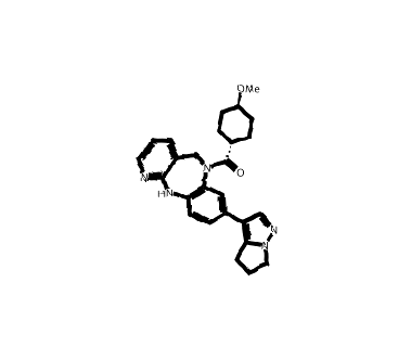 CO[C@H]1CC[C@H](C(=O)N2Cc3cccnc3Nc3ccc(-c4cnn5c4CCC5)cc32)CC1